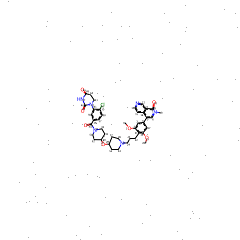 COc1cc(-c2cn(C)c(=O)c3cnccc23)cc(OC)c1CCCN1CCC(OC2CCN(C(=O)c3ccc(Cl)c(N4CCC(=O)NC4=O)c3)CC2)CC1